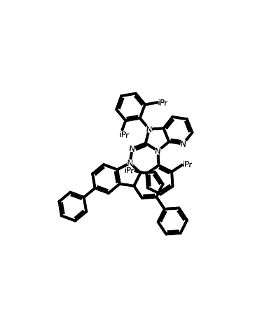 CC(C)c1cccc(C(C)C)c1-n1c(=NN2c3ccc(-c4ccccc4)cc3C3C=C(c4ccccc4)C=CC32)n(-c2c(C(C)C)cccc2C(C)C)c2ncccc21